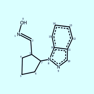 ON=CC1CCCC1n1ncc2ccccc21